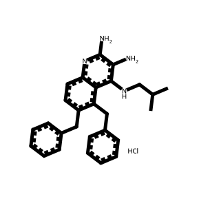 CC(C)CNc1c(N)c(N)nc2ccc(Cc3ccccc3)c(Cc3ccccc3)c12.Cl